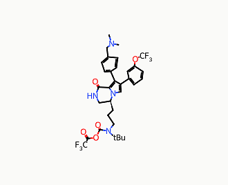 CN(C)Cc1ccc(-c2c(-c3cccc(OC(F)(F)F)c3)cn3c2C(=O)NC[C@@H]3CCCN(C(=O)OC(=O)C(F)(F)F)C(C)(C)C)cc1